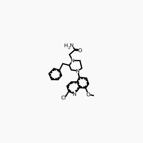 COc1ccc(N2CCN(CC(N)=O)C(Cc3ccccc3)C2)c2ccc(Cl)nc12